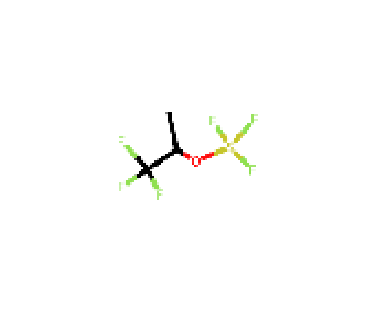 CC(OS(F)(F)F)C(F)(F)F